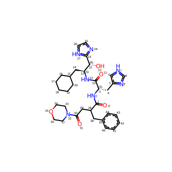 O=C(N[C@@H](Cc1c[nH]cn1)C(=O)N[C@@H](CC1CCCCC1)[C@@H](O)c1ncc[nH]1)C(CC(=O)N1CCOCC1)Cc1ccccc1